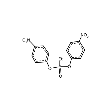 CCP(=O)(Oc1ccc([N+](=O)[O-])cc1)Oc1ccc([N+](=O)[O-])cc1